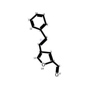 O=Cc1cc(/C=C/c2ccccc2)co1